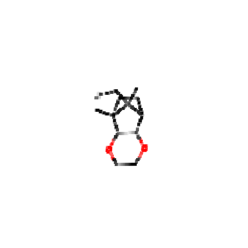 [Li][CH2]C1(C)C2CCC1(C)C1OCCOC21